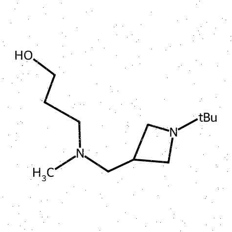 CN(CCCO)CC1CN(C(C)(C)C)C1